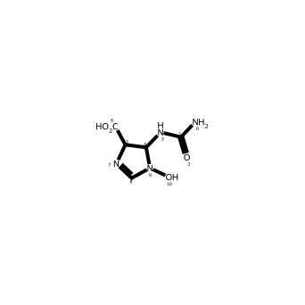 NC(=O)NC1C(C(=O)O)N=CN1O